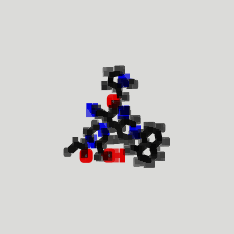 C=CC(=O)N1CCN(c2c(C#N)c(OCC3CCCN3C)nc3c2CCN(c2cccc4cccc(C)c24)C3)CC1CO